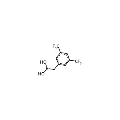 OB(O)Cc1cc(C(F)(F)F)cc(C(F)(F)F)c1